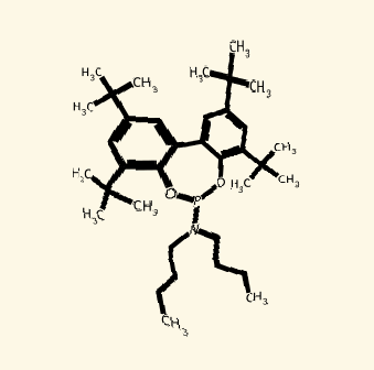 CCCCN(CCCC)p1oc2c(C(C)(C)C)cc(C(C)(C)C)cc2c2cc(C(C)(C)C)cc(C(C)(C)C)c2o1